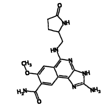 COc1cc2c(NCC3CCC(=O)N3)nc3[nH]c(N)nc3c2cc1C(N)=O